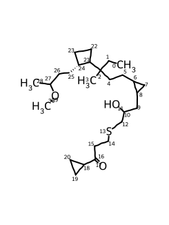 CCC(C)(CCC1CC1CC(O)CSCCC(=O)C1CC1)C1CC[C@H]1CCC(C)OC